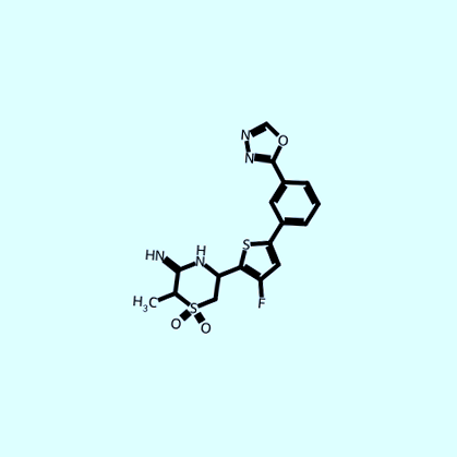 CC1C(=N)NC(c2sc(-c3cccc(-c4nnco4)c3)cc2F)CS1(=O)=O